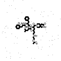 COC(C)OCCNCCCCC(NC(=O)C(CC(C)C)NC(=O)C(Cc1ccccc1)NC(=O)C(N)Cc1ccccc1)C(=O)N1CCC2(CC1)CNC(=O)C2